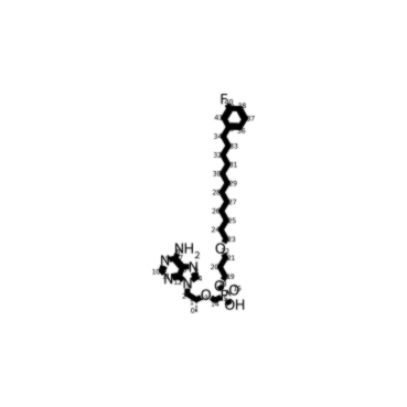 C[C@H](Cn1cnc2c(N)ncnc21)OCP(=O)(O)OCCCOCCCCCCCCCCCCc1cccc(F)c1